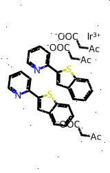 CC(=O)CC(=O)[O-].CC(=O)CC(=O)[O-].CC(=O)CC(=O)[O-].[Ir+3].c1ccc(-c2cc3ccccc3s2)nc1.c1ccc(-c2cc3ccccc3s2)nc1